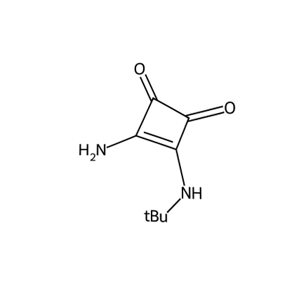 CC(C)(C)Nc1c(N)c(=O)c1=O